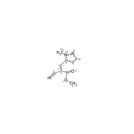 COC(=O)/C(C#N)=C\c1ccnn1C